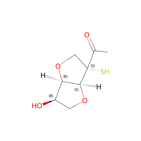 CC(=O)[C@]1(S)CO[C@@H]2[C@H](O)CO[C@@H]21